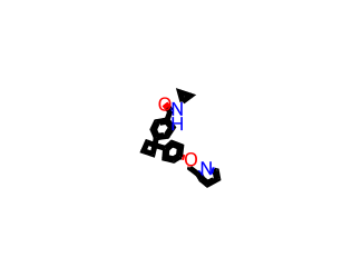 O=C(NC1CC1)c1ccc(C2(c3ccc(OCc4ccccn4)cc3)CCC2)cc1